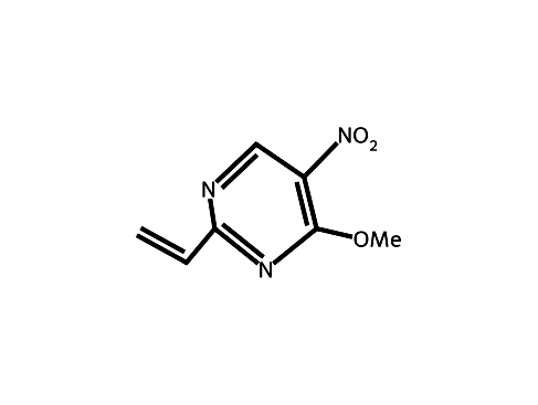 C=Cc1ncc([N+](=O)[O-])c(OC)n1